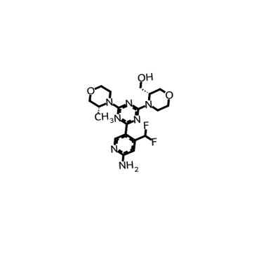 C[C@@H]1COCCN1c1nc(-c2cnc(N)cc2C(F)F)nc(N2CCOC[C@H]2CO)n1